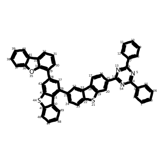 c1ccc(-c2nc(-c3ccccc3)nc(-c3ccc4c(c3)sc3ccc(-c5cc(-c6cccc7c6oc6ccccc67)cc6sc7ccccc7c56)cc34)n2)cc1